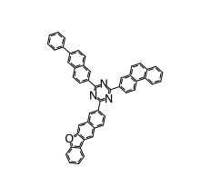 c1ccc(-c2ccc3cc(-c4nc(-c5ccc6cc7c(cc6c5)oc5ccccc57)nc(-c5ccc6c(ccc7ccccc76)c5)n4)ccc3c2)cc1